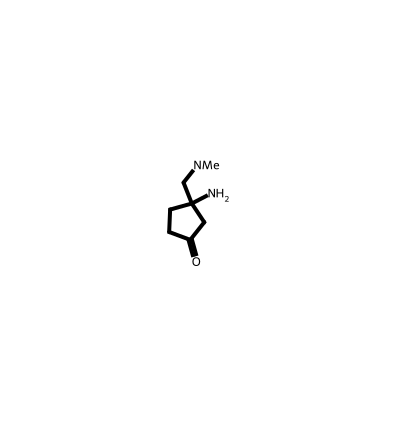 CNCC1(N)CCC(=O)C1